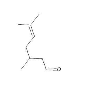 CC(C)=CCC(C)CC=O